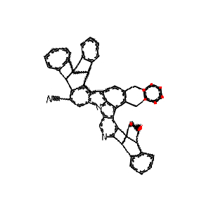 N#Cc1cc2c(c3c1C1c4ccccc4C14c1ccccc1C34)c1cc3c(c4c5c6c(ncc5n2c14)C1c2ccccc2C2c4ccccc4C621)C1c2ccccc2C3c2ccccc21